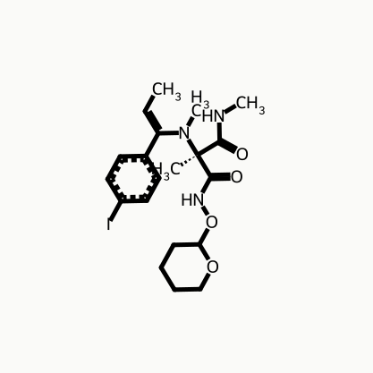 CC=C(c1ccc(I)cc1)N(C)[C@@](C)(C(=O)NC)C(=O)NOC1CCCCO1